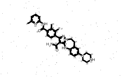 Cc1cccc(NC(=O)c2ccc(-c3nn4c(c3C(N)=O)Nc3ccc(N5CCNCC5)cc3CC4)c(F)c2C)n1